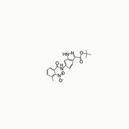 Cc1cccc(C(=O)Nc2ccc3c(C(=O)OC(C)(C)C)n[nH]c3c2)c1[N+](=O)[O-]